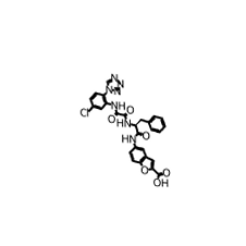 O=C(Nc1cc(Cl)ccc1-n1cnnn1)C(=O)N[C@@H](Cc1ccccc1)C(=O)Nc1ccc2oc(C(=O)O)cc2c1